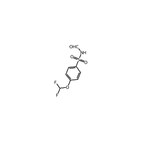 O=[C]NS(=O)(=O)c1ccc(OC(F)F)cc1